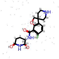 O=C1CC[C@H](NC(=O)c2c(F)ccc3c2OCC32CCNCC2)C(=O)N1